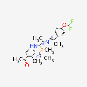 C/C=C\P(C)C(Nc1ccc(C(C)=O)c(C)c1)/C(C)=N/C=C(\C)c1ccc(OC(F)F)cc1